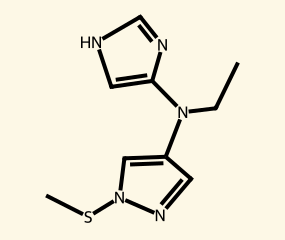 CCN(c1cnn(SC)c1)c1c[nH]cn1